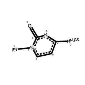 CC(=O)Nc1ccn(C(C)C)c(=O)n1